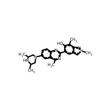 Cc1nc(-c2cc3cn(C)nc3c(C)c2O)nc2ccc(N3CC(C)NC(C)C3)cc12